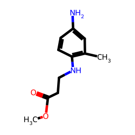 COC(=O)CCNc1ccc(N)cc1C